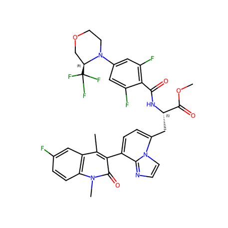 COC(=O)[C@H](Cc1ccc(-c2c(C)c3cc(F)ccc3n(C)c2=O)c2nccn12)NC(=O)c1c(F)cc(N2CCOC[C@@H]2C(F)(F)F)cc1F